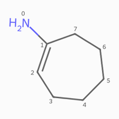 NC1=CCCCCC1